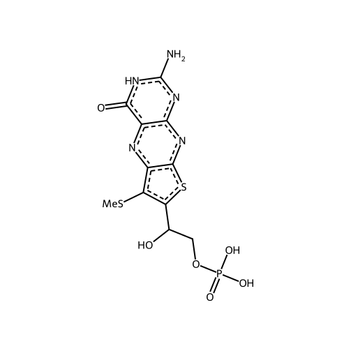 CSc1c(C(O)COP(=O)(O)O)sc2nc3nc(N)[nH]c(=O)c3nc12